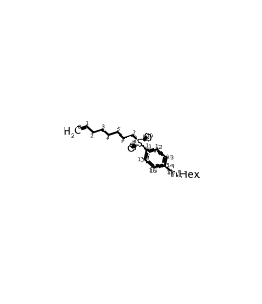 C=CCCCCCCS(=O)(=O)c1ccc(CCCCCC)cc1